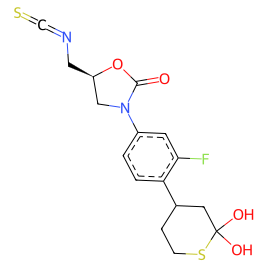 O=C1O[C@H](CN=C=S)CN1c1ccc(C2CCSC(O)(O)C2)c(F)c1